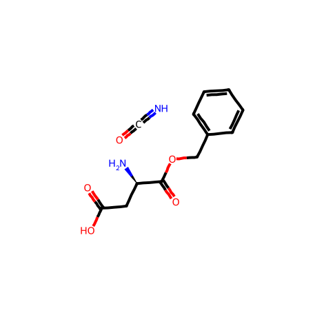 N=C=O.N[C@H](CC(=O)O)C(=O)OCc1ccccc1